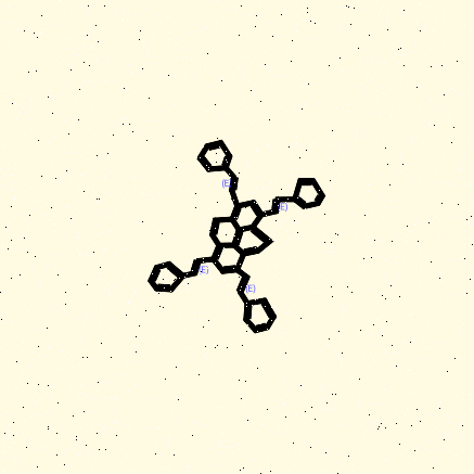 C(=C\c1cc(/C=C/c2ccccc2)c2ccc3c(/C=C/c4ccccc4)cc(/C=C/c4ccccc4)c4ccc1c2c43)/c1ccccc1